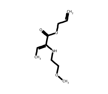 C=CCOC(=O)C(=CC)NCCOC